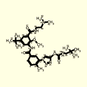 COc1c(NC(=O)c2ccc(C)c(-n3cc(OC(=O)NCC(C)(C)C)nn3)c2)cc(C(C)(C)C)cc1C(=O)NCCN(C)C